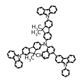 CC1(C)c2cc(N(c3ccc4c(c3)C(C)(C)c3cc(-n5c6ccccc6c6ccccc65)ccc3-4)c3ccc(-c4ccc5c(c4)c4ccccc4n5-c4ccccc4)c4ccccc34)ccc2-c2ccc(-n3c4ccccc4c4ccccc43)cc21